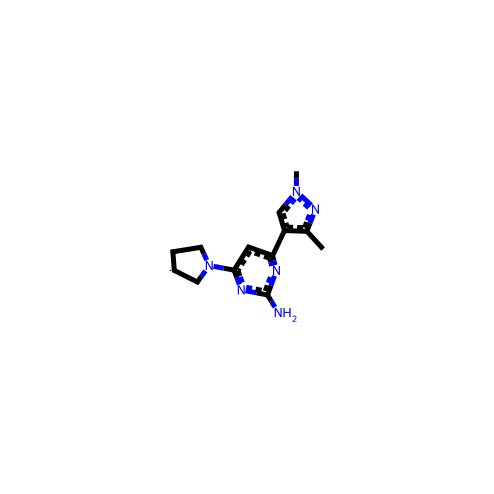 Cc1nn(C)cc1-c1cc(N2C[CH]CC2)nc(N)n1